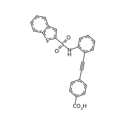 O=C(O)c1ccc(C#Cc2ccccc2NS(=O)(=O)c2cc3ccccc3s2)cc1